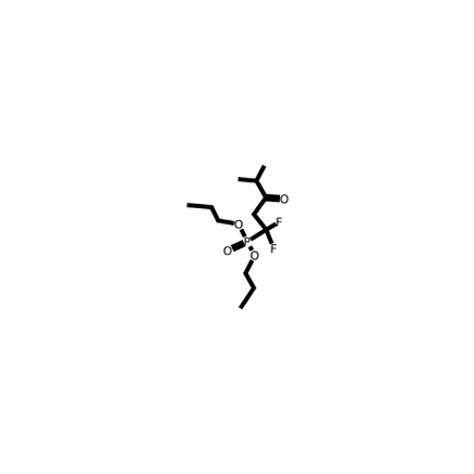 CCCOP(=O)(OCCC)C(F)(F)CC(=O)C(C)C